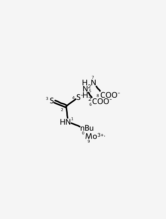 CCCCNC(=S)[S-].NC(=O)[O-].NC(=O)[O-].[Mo+3]